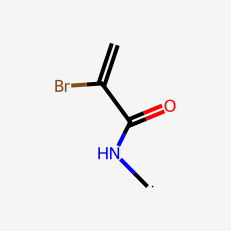 [CH2]NC(=O)C(=C)Br